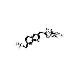 CCc1ccc2cc(CC(=O)OC(C)(C)C)cnc2c1